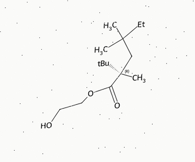 CCC(C)(C)C[C@@](C)(C(=O)OCCO)C(C)(C)C